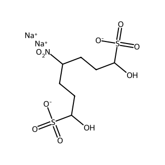 O=[N+]([O-])C(CCC(O)S(=O)(=O)[O-])CCC(O)S(=O)(=O)[O-].[Na+].[Na+]